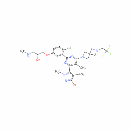 CNC[C@@H](O)COc1ccc(Cl)c(-c2nc(-c3c(C)c(Br)nn3C)c(C)c(N3CC4(CN(CC(F)(F)F)C4)C3)n2)c1